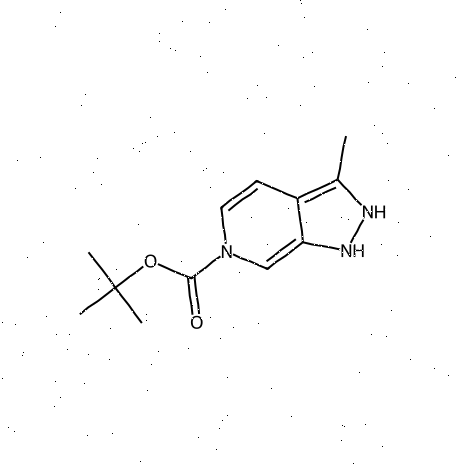 CC1=C2C=CN(C(=O)OC(C)(C)C)C=C2NN1